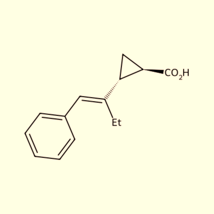 CC/C(=C\c1ccccc1)[C@@H]1C[C@H]1C(=O)O